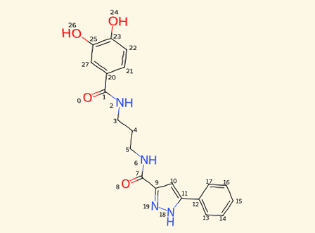 O=C(NCCCNC(=O)c1cc(-c2ccccc2)[nH]n1)c1ccc(O)c(O)c1